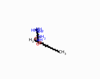 CCCCCCCCCCCCCCCCOC(=O)C(CC)NC(=O)C(N)CCCNC(=N)N